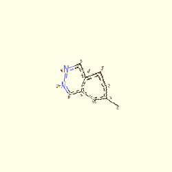 Cc1ccc2cnncc2c1